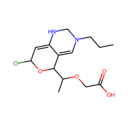 CCCN1C=C2C(=CC(Cl)OC2C(C)OCC(=O)O)NC1